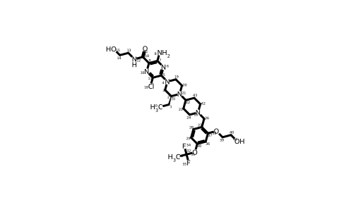 CC[C@H]1CN(c2nc(N)c(C(=O)NCCO)nc2Cl)CCN1C1CCN(Cc2ccc(OC(C)(F)F)cc2OCCO)CC1